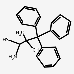 CC(C)(C(N)S)C(c1ccccc1)(c1ccccc1)c1ccccc1